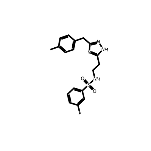 Cc1ccc(Cc2n[nH]c(CCNS(=O)(=O)c3cccc(F)c3)n2)cc1